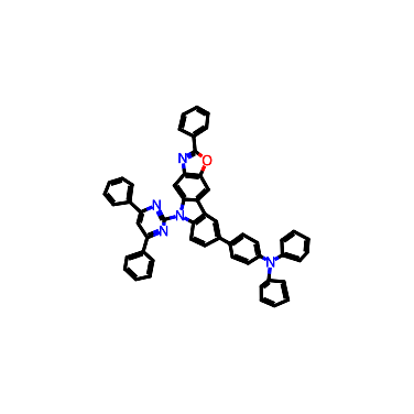 c1ccc(-c2cc(-c3ccccc3)nc(-n3c4ccc(-c5ccc(N(c6ccccc6)c6ccccc6)cc5)cc4c4cc5oc(-c6ccccc6)nc5cc43)n2)cc1